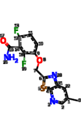 Cc1cnc2sc(COc3ccc(F)c(C(N)=O)c3F)nc2c1